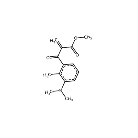 C=C(C(=O)OC)C(=O)c1cccc(N(C)C)c1C